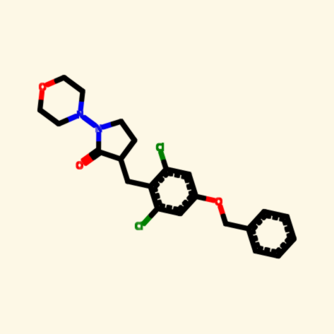 O=C1C(Cc2c(Cl)cc(OCc3ccccc3)cc2Cl)CCN1N1CCOCC1